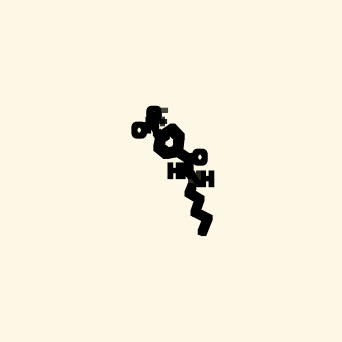 CCCCCNNC(=O)c1ccc([N+](=O)[O-])cc1